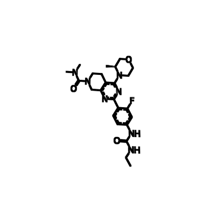 CCNC(=O)Nc1ccc(-c2nc3c(c(N4CCOC[C@@H]4C)n2)CCN(C(=O)N(C)C)C3)c(F)c1